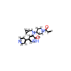 C=CC(=O)N1CCC(N(CC2CC2)c2cc(-c3ccncc3)c[nH]c2=O)CC1